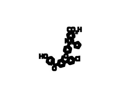 O=C(O)c1ccc2c(c1)nc(-c1ccc(OCc3cc(C(=O)N4CCC(O)CC4)ccc3-c3ccc(Cl)cc3)cc1)n2C1CCCC1